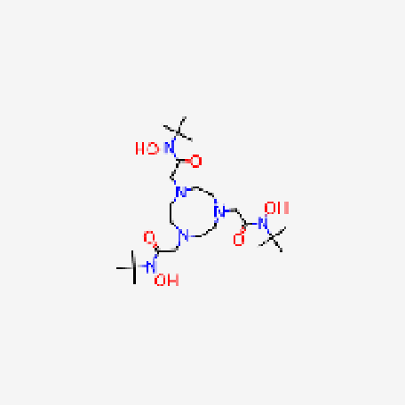 CC(C)(C)N(O)C(=O)CN1CCN(CC(=O)N(O)C(C)(C)C)CCN(CC(=O)N(O)C(C)(C)C)CC1